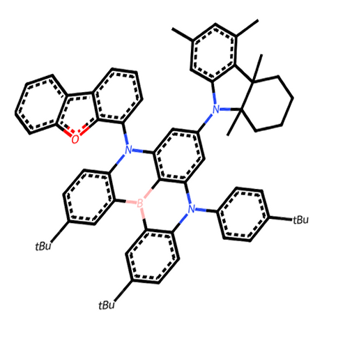 Cc1cc(C)c2c(c1)N(c1cc3c4c(c1)N(c1cccc5c1oc1ccccc15)c1ccc(C(C)(C)C)cc1B4c1cc(C(C)(C)C)ccc1N3c1ccc(C(C)(C)C)cc1)C1(C)CCCCC21C